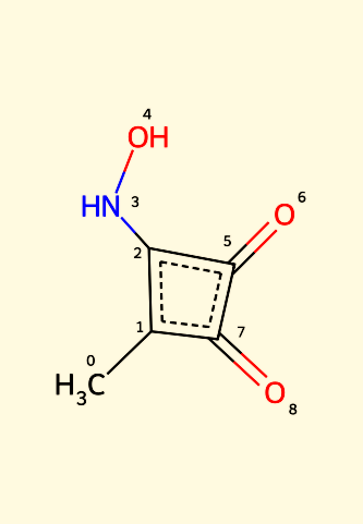 Cc1c(NO)c(=O)c1=O